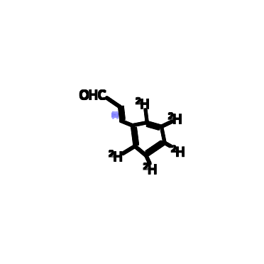 [2H]c1c([2H])c([2H])c(/C=C/C=O)c([2H])c1[2H]